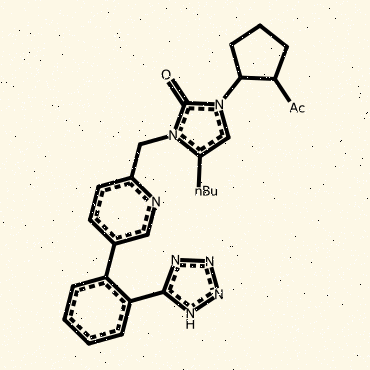 CCCCc1cn(C2CCCC2C(C)=O)c(=O)n1Cc1ccc(-c2ccccc2-c2nnn[nH]2)cn1